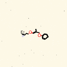 CC/C=C\CCOC=C(C)COc1ccccc1